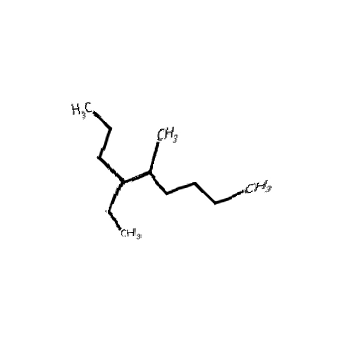 C[CH]C(CCC)C(C)CCCC